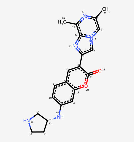 Cc1cn2cc(-c3cc4ccc(N[C@@H]5CCNC5)cc4oc3=O)nc2c(C)n1